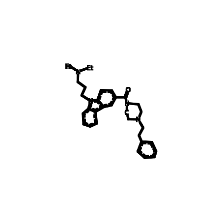 CCN(CC)CCCn1c2ccccc2c2cc(C(=O)N3CCN(CCc4ccccc4)CC3)ccc21